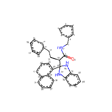 O=C(NCc1ccccc1)C(CCc1ccccc1)C1(c2cccc3ccccc23)Nc2ccccc2N1